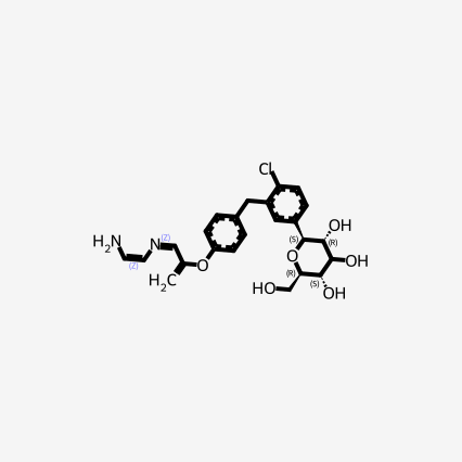 C=C(/C=N\C=C/N)Oc1ccc(Cc2cc([C@@H]3O[C@H](CO)[C@@H](O)C(O)[C@H]3O)ccc2Cl)cc1